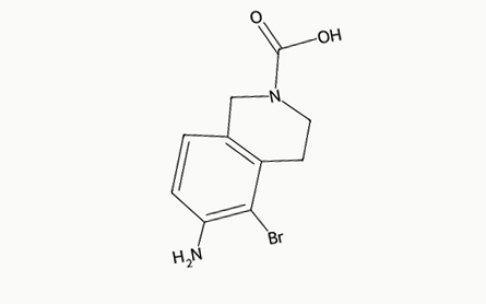 Nc1ccc2c(c1Br)CCN(C(=O)O)C2